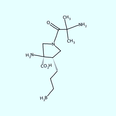 BCCC[C@H]1CN(C(=O)C(C)(C)N)C[C@@]1(N)C(=O)O